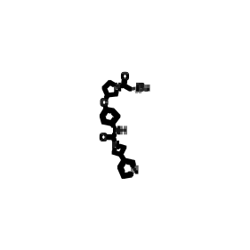 CC[C@@H](C)CC(=O)N1CCC(Oc2ccc(NC(=O)N3CC(c4cccnc4)C3)cc2)C1